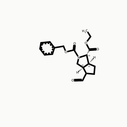 CCOC(=O)[C@@H]1[C@H]2CCC(C=O)[C@H]2CN1C(=O)OCc1ccccc1